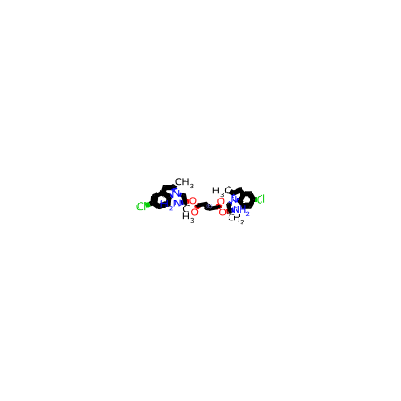 Cc1cc2cc(Cl)ccc2n1C[C@@](C)(N)OC(=O)/C=C/C(=O)O[C@](C)(N)Cn1c(C)cc2cc(Cl)ccc21